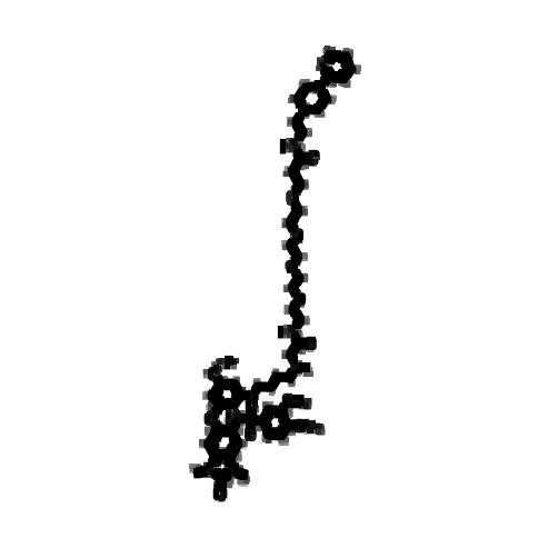 CCCOc1cc(OCCCCN(C)CC(=O)NCCOCCOCCOCCOCCC(=O)NCCN2CCN(c3ccccn3)CC2)cc(Oc2cc3c(cc2NS(=O)(=O)c2ccc(OC)c(OC)c2)n(C)c(=O)n3C)c1